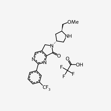 COC[C@@H]1C[C@@H](N2Cc3cnc(-c4cccc(C(F)(F)F)c4)nc3C2=O)CN1.O=C(O)C(F)(F)F